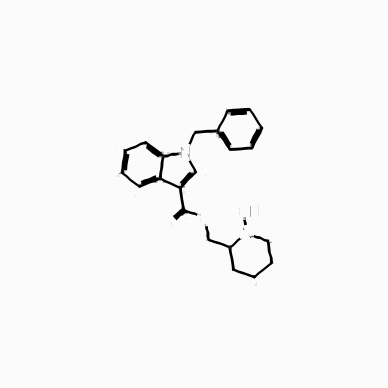 CN1CCCCC1COC(=O)c1cn(Cc2ccccc2)c2ccccc12